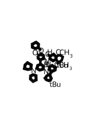 Cc1cc2c(cc1N1B3c4c(cc(N(c5ccccc5)c5ccccc5)cc4-n4c5ccc(C(C)(C)C)cc5c5cc(C(C)(C)C)cc3c54)-c3cc4c(cc31)Oc1ccccc1O4)C(C)(C)CCC2(C)C